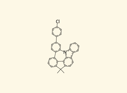 CC1(C)c2cccc3c2-c2c1ccc1c4ccccc4n(c21)-c1cc(-c2ccc(Cl)cc2)ccc1-3